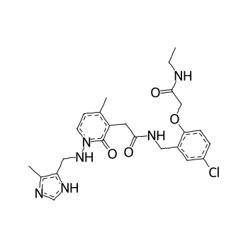 CCNC(=O)COc1ccc(Cl)cc1CNC(=O)Cc1c(C)ccn(NCc2[nH]cnc2C)c1=O